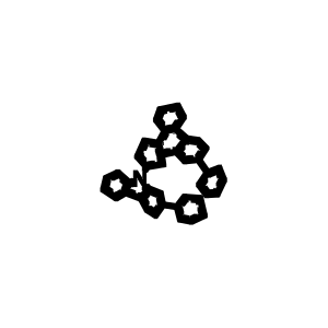 c1ccc(-c2ccc3c4ccccc4c4ccc(-n5c6ccccc6c6ccc(-c7ccccc7)cc65)cc4c3c2)cc1